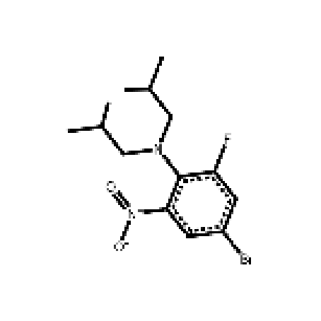 CC(C)CN(CC(C)C)c1c(F)cc(Br)cc1[N+](=O)[O-]